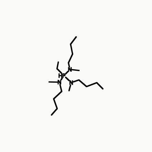 CCCCN(C)[PH](CC)(N(C)CCCC)N(C)CCCC